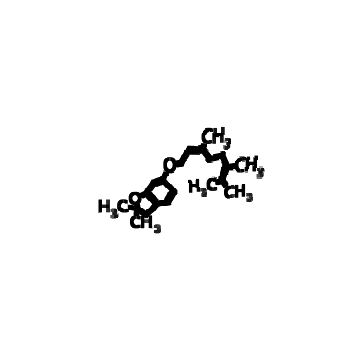 CC(=CCOc1ccc2c(c1)OC(C)(C)C2)CCC(C)=C(C)C